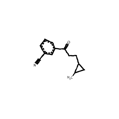 CC1CC1CCC(=O)c1cccc(C#N)c1